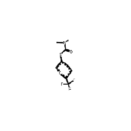 CN(C)C(=O)Sc1ccc(C(F)(F)F)cc1